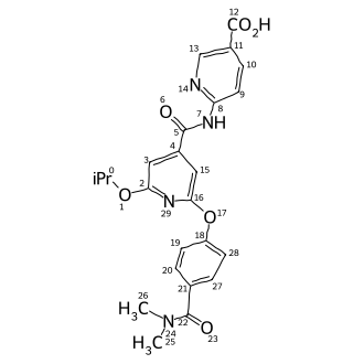 CC(C)Oc1cc(C(=O)Nc2ccc(C(=O)O)cn2)cc(Oc2ccc(C(=O)N(C)C)cc2)n1